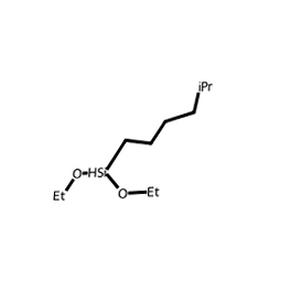 CCO[SiH](CCCCC(C)C)OCC